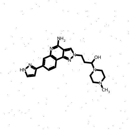 CN1CCN(C(O)CCn2cc3c(N)nc4cc(-c5cc[nH]n5)ccc4c3n2)CC1